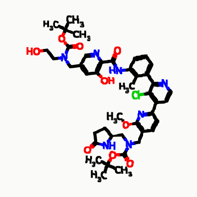 COc1nc(-c2ccnc(-c3cccc(NC(=O)c4ncc(CN(CCO)C(=O)OC(C)(C)C)cc4O)c3C)c2Cl)ccc1CN(C[C@@H]1CCC(=O)N1)C(=O)OC(C)(C)C